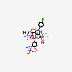 C[C@]1(C(N)=O)COc2c1cc([C@@](O)(CNC(=O)c1ccc3c(c1)NC(=O)CO3)C(F)(F)F)nc2-c1ccc(F)cc1